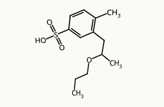 CCCOC(C)Cc1cc(S(=O)(=O)O)ccc1C